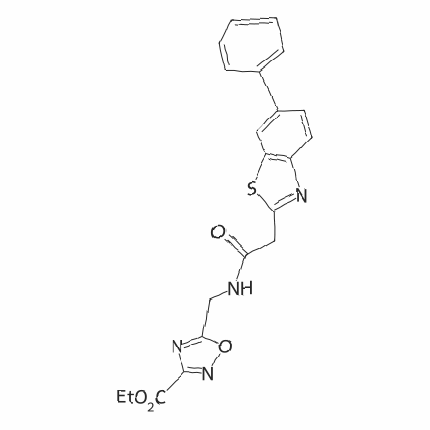 CCOC(=O)c1noc(CNC(=O)Cc2nc3ccc(-c4ccccc4)cc3s2)n1